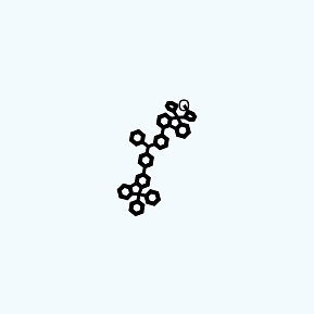 c1ccc(C(c2ccc(-c3ccc4c(c3)-c3ccccc3C4(c3ccccc3)c3ccccc3)cc2)c2cccc(-c3cccc4c3-c3ccccc3C43c4ccccc4Oc4ccccc43)c2)cc1